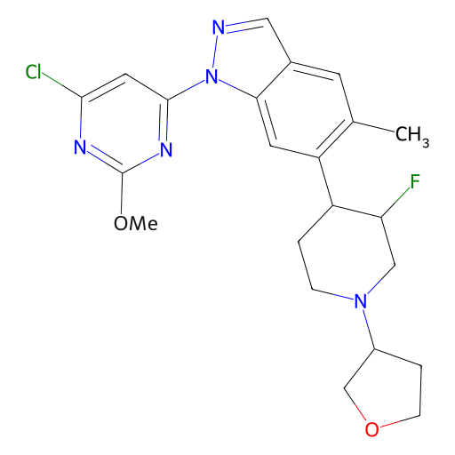 COc1nc(Cl)cc(-n2ncc3cc(C)c(C4CCN(C5CCOC5)CC4F)cc32)n1